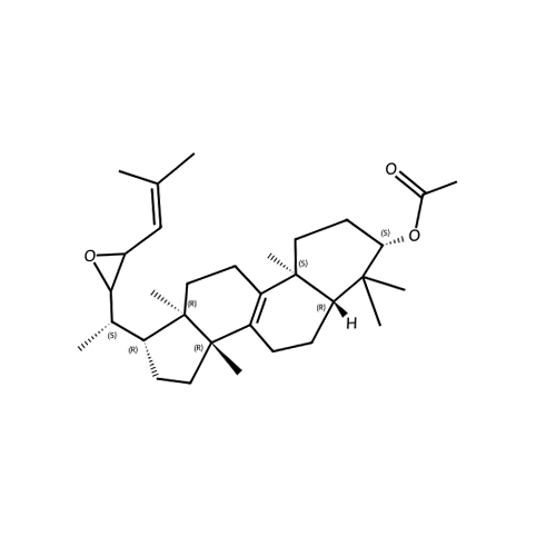 CC(=O)O[C@H]1CC[C@]2(C)C3=C(CC[C@H]2C1(C)C)[C@]1(C)CC[C@H]([C@H](C)C2OC2C=C(C)C)[C@@]1(C)CC3